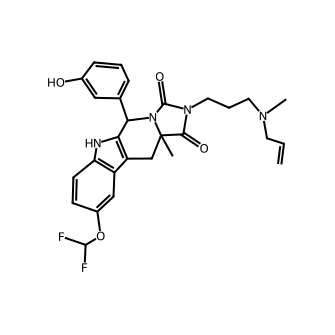 C=CCN(C)CCCN1C(=O)N2C(c3cccc(O)c3)c3[nH]c4ccc(OC(F)F)cc4c3CC2(C)C1=O